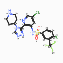 O=S(=O)(Nc1cc(Cl)cnc1-c1nncn1C1CCNCC1)c1ccc(Cl)c(C(F)(F)F)c1